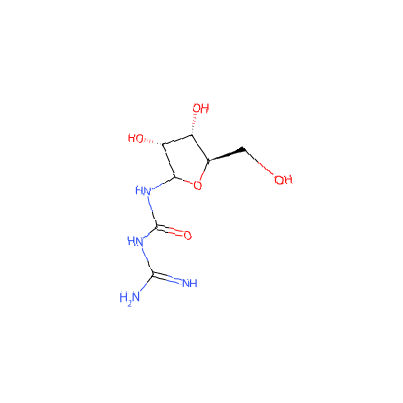 N=C(N)NC(=O)NC1O[C@H](CO)[C@@H](O)[C@H]1O